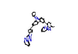 C=C(/C=C\C(=C/C)c1cn2ccccc2n1)c1ccc2c(c1)c1cc(-c3ccc(-c4cn5ccccc5n4)cc3)ccc1n2-c1ccccc1